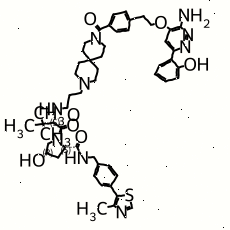 Cc1ncsc1-c1ccc(CNC(=O)[C@@H]2C[C@@H](O)CN2C(=O)[C@@H](NC(=O)CCN2CCC3(CC2)CCN(C(=O)c2ccc(CCOc4cc(-c5ccccc5O)nnc4N)cc2)CC3)C(C)(C)C)cc1